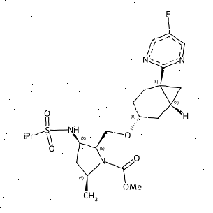 COC(=O)N1[C@H](CO[C@@H]2CC[C@]3(c4ncc(F)cn4)C[C@@H]3C2)[C@H](NS(=O)(=O)C(C)C)C[C@@H]1C